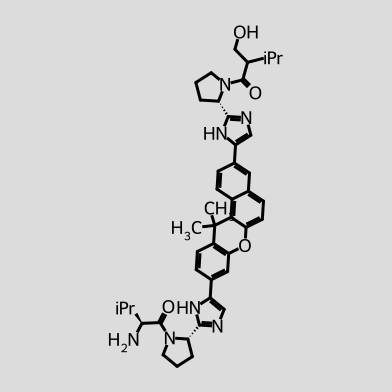 CC(C)C(CO)C(=O)N1CCC[C@H]1c1ncc(-c2ccc3c4c(ccc3c2)Oc2cc(-c3cnc([C@@H]5CCCN5C(=O)[C@@H](N)C(C)C)[nH]3)ccc2C4(C)C)[nH]1